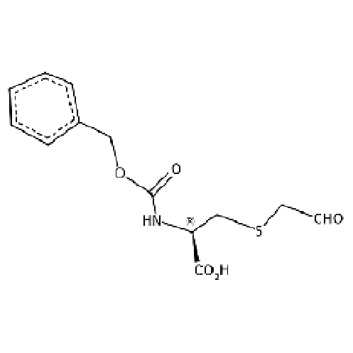 O=CCSC[C@H](NC(=O)OCc1ccccc1)C(=O)O